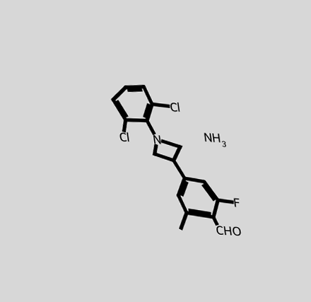 Cc1cc(C2CN(c3c(Cl)cccc3Cl)C2)cc(F)c1C=O.N